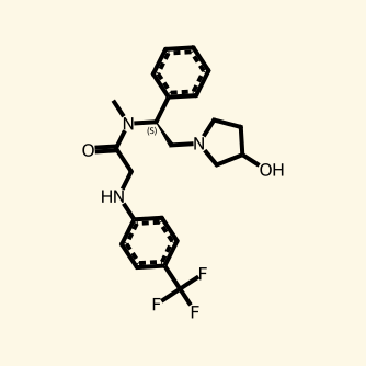 CN(C(=O)CNc1ccc(C(F)(F)F)cc1)[C@H](CN1CCC(O)C1)c1ccccc1